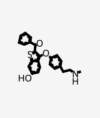 CNCCc1ccc(Oc2c(C(=O)c3ccccc3)sc3cc(O)ccc23)cc1